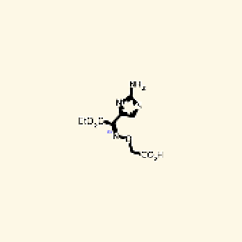 CCOC(=O)/C(=N/OCC(=O)O)c1csc(N)n1